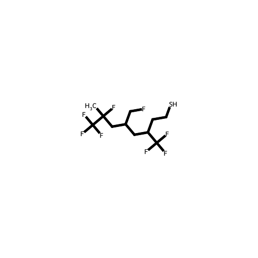 CC(F)(CC(CF)CC(CCS)C(F)(F)F)C(F)(F)F